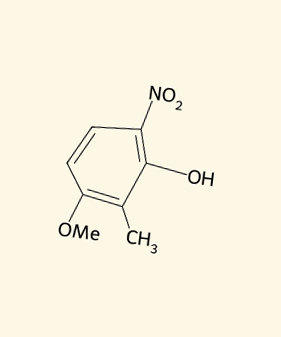 COc1ccc([N+](=O)[O-])c(O)c1C